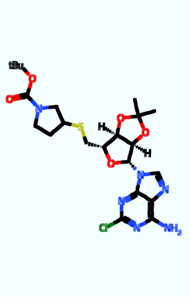 CC(C)(C)OC(=O)N1CCC(SC[C@H]2O[C@@H](n3cnc4c(N)nc(Cl)nc43)[C@@H]3OC(C)(C)O[C@@H]32)C1